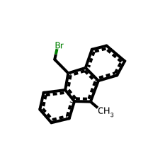 Cc1c2ccccc2c(CBr)c2ccccc12